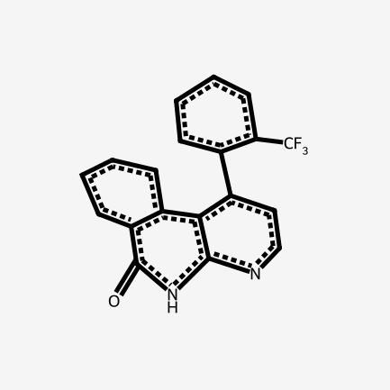 O=c1[nH]c2nccc(-c3ccccc3C(F)(F)F)c2c2ccccc12